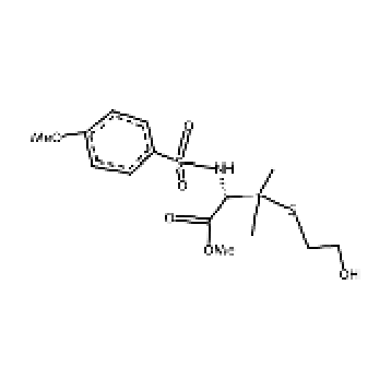 COC(=O)[C@H](NS(=O)(=O)c1ccc(OC)cc1)C(C)(C)SCCO